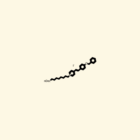 CCCCCCCCCCCCCCCCCC[n+]1ccc(/C=C/c2ccc(OCc3ccccc3)cc2)cc1.[I-]